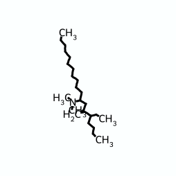 C=C(CC(CCCCCCCCCCC)N(C)C)C(CC)CCCC